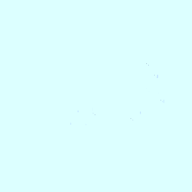 O=C(CCCNC(=O)C1=CC=CC(Cc2ccc(F)c(F)c2)C1=O)Nc1ccc2c(c1)C(=Cc1cnc[nH]1)C(=O)N2